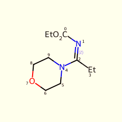 CCOC(=O)/N=C(/CC)N1CCOCC1